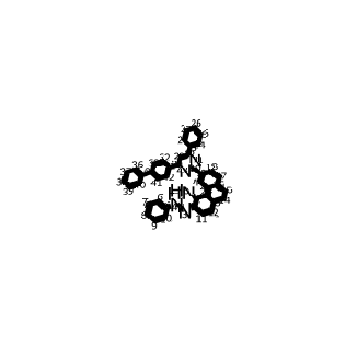 N=C1/C(=N\Nc2ccccc2)C=Cc2ccc3ccc(-c4nc(-c5ccccc5)cc(-c5ccc(-c6ccccc6)cc5)n4)cc3c21